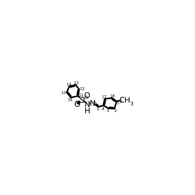 Cc1ccc(C=NNS(=O)(=O)c2ccccc2)cc1